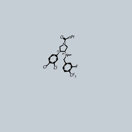 CCCC(=O)N1C[C@H](c2ccc(Cl)c(Cl)c2)[C@@H](N(C)Cc2ccc(C(F)(F)F)c(F)c2)C1